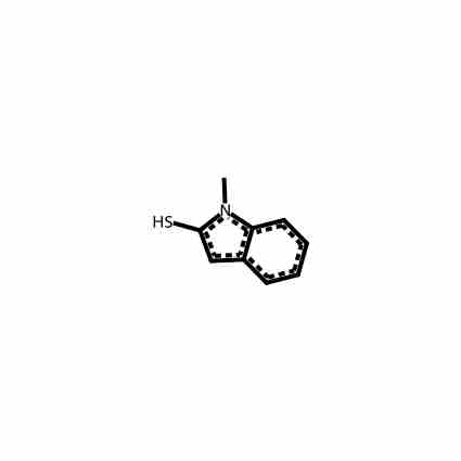 Cn1c(S)cc2ccccc21